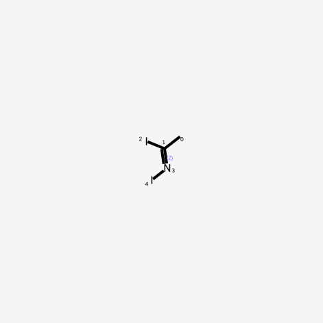 C/C(I)=N/I